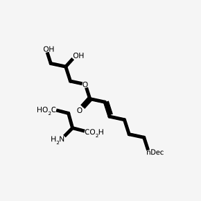 CCCCCCCCCCCCC/C=C/C(=O)OCC(O)CO.NC(CC(=O)O)C(=O)O